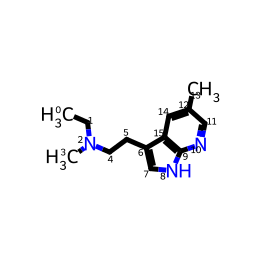 CCN(C)CCc1c[nH]c2ncc(C)cc12